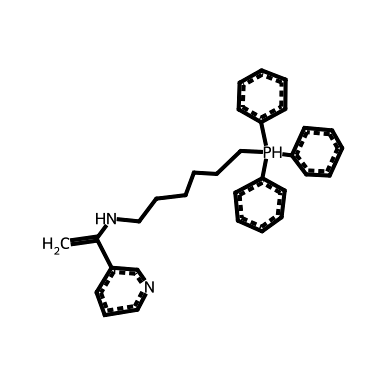 C=C(NCCCCCC[PH](c1ccccc1)(c1ccccc1)c1ccccc1)c1cccnc1